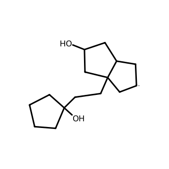 OC1CC2C[CH]CC2(CCC2(O)CCCC2)C1